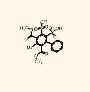 COC(=O)c1[c]([Na])c(C(=O)OC)c(S(=O)(=O)O)c(S(=O)(=O)O)c1-c1ccccc1